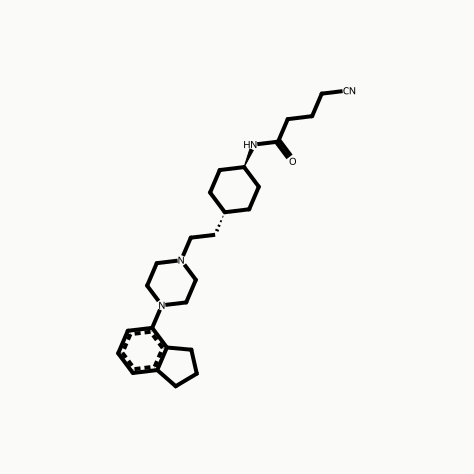 N#CCCCC(=O)N[C@H]1CC[C@H](CCN2CCN(c3cccc4c3CCC4)CC2)CC1